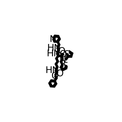 O=C(NCc1cccnc1)NC(CCCCNC(=O)OCc1ccccc1)C(=O)N(Cc1cccs1)Cc1cccs1